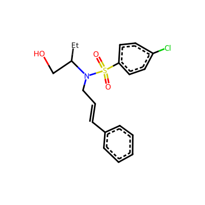 CCC(CO)N(CC=Cc1ccccc1)S(=O)(=O)c1ccc(Cl)cc1